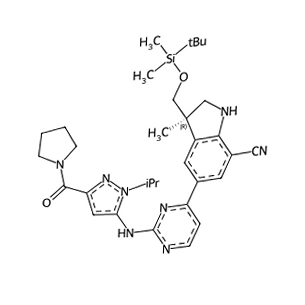 CC(C)n1nc(C(=O)N2CCCC2)cc1Nc1nccc(-c2cc(C#N)c3c(c2)[C@@](C)(CO[Si](C)(C)C(C)(C)C)CN3)n1